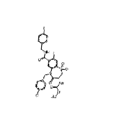 CC(C)(C)OC(=O)N[C@H]1CS(=O)(=O)c2cc(F)c(C(=O)NCc3ccc(F)cc3)cc2N(Cc2ccc(Cl)cc2)C1=O